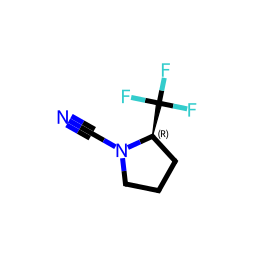 N#CN1CCC[C@@H]1C(F)(F)F